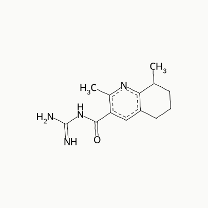 Cc1nc2c(cc1C(=O)NC(=N)N)CCCC2C